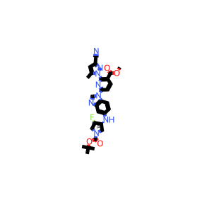 COC(=O)c1ccc(-n2cnc3cc(N[C@H]4CN(C(=O)OC(C)(C)C)C[C@H]4F)ccc32)nc1-n1nc(C#N)cc1C